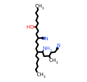 CCCCCCC(O)CCC(C#N)CCCC(CCCCCC)C(N)CC(C)CCC#N